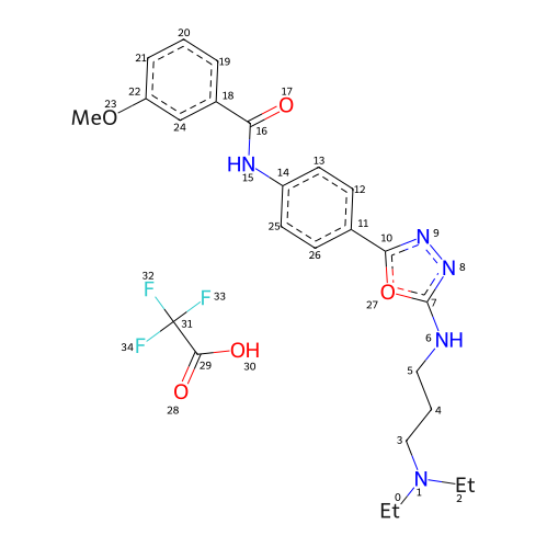 CCN(CC)CCCNc1nnc(-c2ccc(NC(=O)c3cccc(OC)c3)cc2)o1.O=C(O)C(F)(F)F